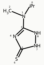 CC(C)N(C)c1nc(=S)[nH][nH]1